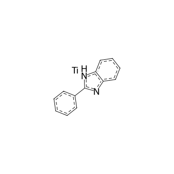 [Ti].c1ccc(-c2nc3ccccc3[nH]2)cc1